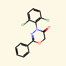 O=C1COC(c2ccccc2)=NN1c1c(Cl)cccc1Cl